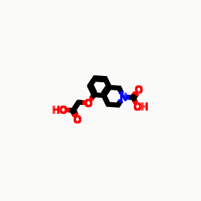 O=C(O)COc1cccc2c1CCN(C(=O)O)C2